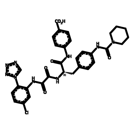 O=C(Nc1cc(Cl)ccc1-n1cnnn1)C(=O)N[C@@H](Cc1ccc(NC(=O)N2CCCCC2)cc1)C(=O)Nc1ccc(C(=O)O)cc1